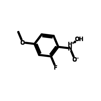 COc1ccc([NH+]([O-])O)c(F)c1